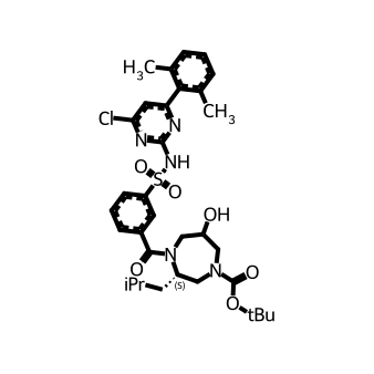 Cc1cccc(C)c1-c1cc(Cl)nc(NS(=O)(=O)c2cccc(C(=O)N3CC(O)CN(C(=O)OC(C)(C)C)C[C@@H]3CC(C)C)c2)n1